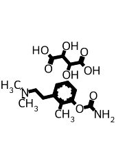 Cc1c(CCN(C)C)cccc1OC(N)=O.O=C(O)C(O)C(O)C(=O)O